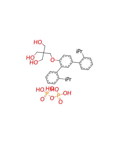 CC(C)c1ccccc1-c1ccc(OCC(CO)(CO)CO)c(-c2ccccc2C(C)C)c1.O=P(O)(O)OP(=O)(O)O